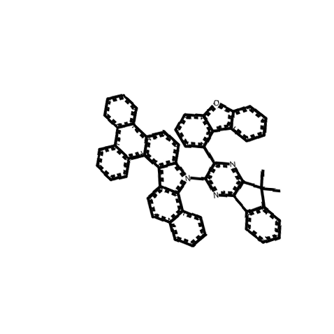 CC1(C)c2ccccc2-c2nc(-n3c4ccc5c6ccccc6c6ccccc6c5c4c4ccc5ccccc5c43)c(-c3cccc4oc5ccccc5c34)nc21